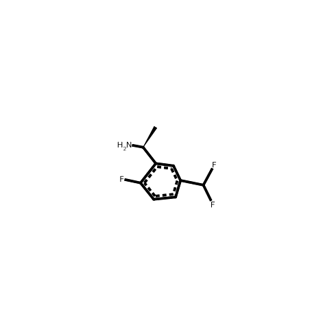 C[C@H](N)c1cc(C(F)F)ccc1F